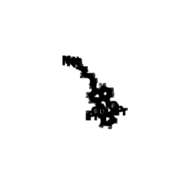 CC(C)c1cccc(C(C)C)c1N1C(=O)c2cccc3c(C#CCCCCN=[N+]=[N-])ccc(c23)C1=O